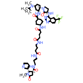 CC(C)N(C)[C@@H]1CC[C@H](N2CC[C@H](Nc3ncnc4ccc(C(F)(F)F)cc34)C2=O)[C@H](NC(=O)C2CCC(NC(=O)CCCC(=O)NCCCC(=O)NCCCNC(=O)[C@H]3CC(=O)N(C)[C@@H]3c3cccnc3)CC2)C1